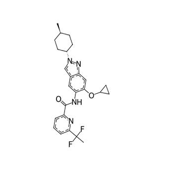 CC(F)(F)c1cccc(C(=O)Nc2cc3cn([C@H]4CC[C@H](C)CC4)nc3cc2OC2CC2)n1